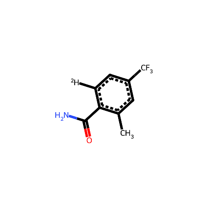 [2H]c1cc(C(F)(F)F)cc(C)c1C(N)=O